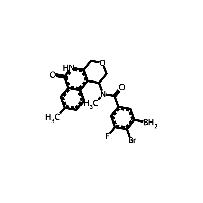 Bc1cc(C(=O)N(C)C2COCc3[nH]c(=O)c4cc(C)ccc4c32)cc(F)c1Br